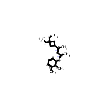 CCC1(CC)CC(/C(C)=C/C(C)=N\C2C=CC=C(C)C2C)C1